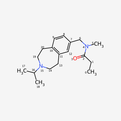 CCC(=O)N(C)Cc1ccc2c(c1)CCN(C(C)C)CC2